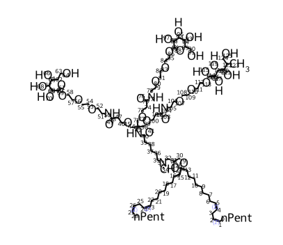 CCCCC/C=C\C/C=C\CCCCCCCCC1(CCCCCCCC/C=C\C/C=C\CCCCC)OC[C@H](CN(C)CCCCCC(=O)NC(COCCC(=O)NCCOCCOCCO[C@@H]2OC(CO)[C@@H](O)C(O)[C@H]2O)(COCCC(=O)NCCOCCOCCO[C@@H]2OC(CO)[C@@H](O)C(O)[C@H]2O)COCCC(=O)NCCOCCOCCO[C@H](O)[C@H](O)C(O)[C@H](O)C(C)CO)O1